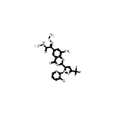 CNC(=O)/C(=N\OC)c1cc(C)c2nc(-c3cc(C(F)(F)F)nn3-c3ncccc3Cl)oc(=O)c2c1